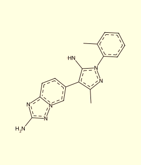 Cc1ccccc1-n1nc(C)c(-c2ccc3nc(N)nn3c2)c1[NH]